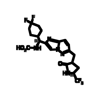 O=C(O)N[C@H](c1cn2nc(CC3C[C@@H](C(F)(F)F)NC3=O)ccc2n1)C1CCC(F)(F)CC1